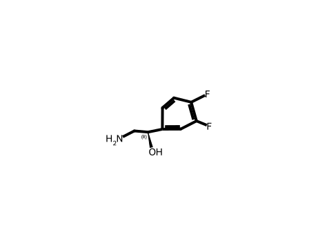 NC[C@H](O)c1ccc(F)c(F)c1